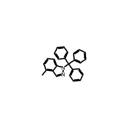 Cc1cccc2c1cnn2C(c1ccccc1)(c1ccccc1)c1ccccc1